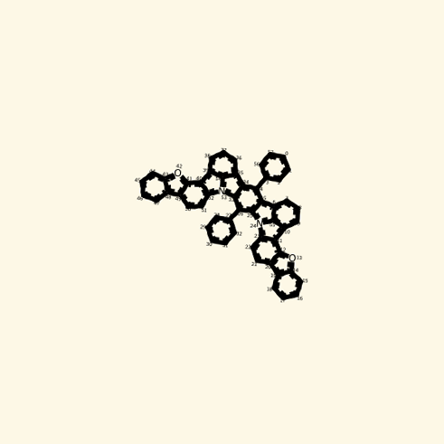 c1ccc(-c2c3c4cccc5c6c7oc8ccccc8c7ccc6n(c3c(-c3ccccc3)c3c2c2cccc6c7c8oc9ccccc9c8ccc7n3c26)c45)cc1